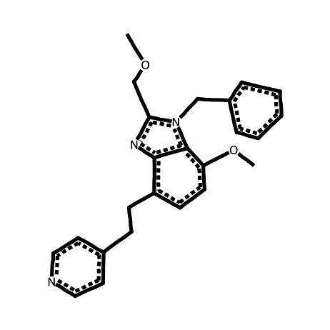 COCc1nc2c(CCc3ccncc3)ccc(OC)c2n1Cc1ccccc1